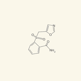 NC(=O)c1ccccc1S(=O)(=O)Cc1cnco1